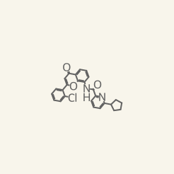 O=C(Nc1cccc2c(=O)cc(-c3ccccc3Cl)oc12)c1cccc(C2CCCC2)n1